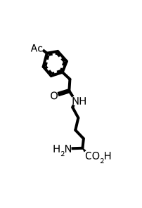 CC(=O)c1ccc(CC(=O)NCCCC[C@H](N)C(=O)O)cc1